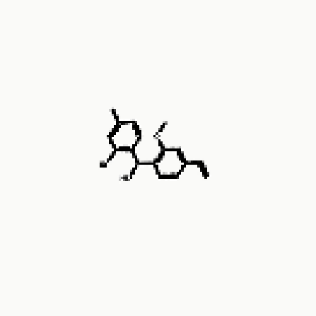 C=Cc1ccc(C(O)c2ccc(C)cc2Br)c(OC)c1